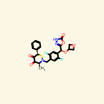 C[C@H]1C(=O)C(=O)[C@@H](c2ccccc2)SN1Cc1cc(F)c([C@H](OC2COC2)c2n[nH]c(=O)o2)cc1F